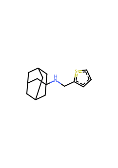 c1csc(CNC23CC4CC(CC(C4)C2)C3)c1